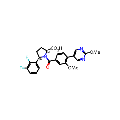 COc1ncc(-c2ccc(C(=O)N3[C@@H](c4cccc(F)c4F)CC[C@H]3C(=O)O)cc2OC)cn1